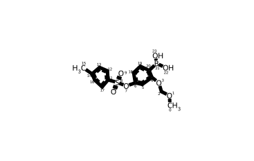 COCOc1cc(OS(=O)(=O)c2ccc(C)cc2)ccc1B(O)O